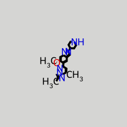 COc1cc2nn(C3CCNCC3)cc2cc1-c1cc(C)c2nc(C)cn2n1